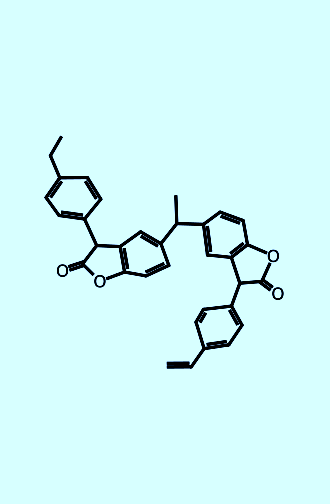 C=Cc1ccc(C2C(=O)Oc3ccc(C(C)c4ccc5c(c4)C(c4ccc(CC)cc4)C(=O)O5)cc32)cc1